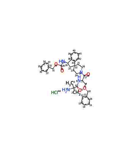 CC(C)(N)C(=O)NC(COCc1ccccc1)C(=O)N1CCC2(CC1)C[C@@H](NC(=O)OCc1ccccc1)c1ccccc12.Cl